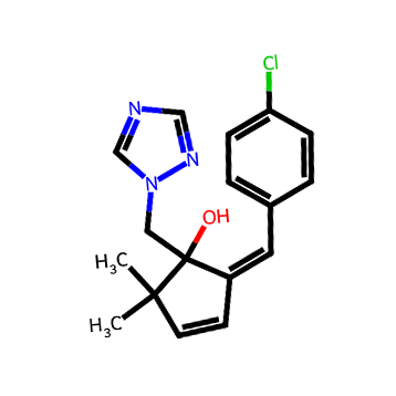 CC1(C)C=CC(=Cc2ccc(Cl)cc2)C1(O)Cn1cncn1